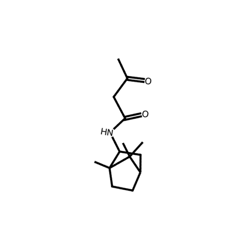 CC(=O)CC(=O)NC1CC2CCC1(C)C2(C)C